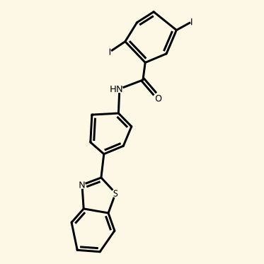 O=C(Nc1ccc(-c2nc3ccccc3s2)cc1)c1cc(I)ccc1I